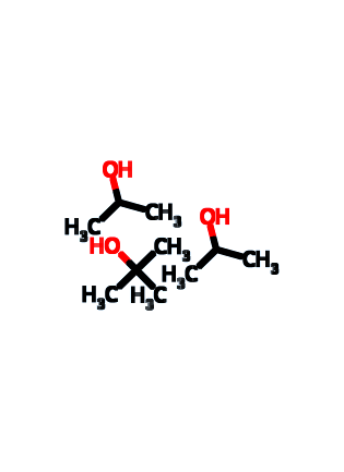 CC(C)(C)O.CC(C)O.CC(C)O